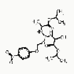 CC(C)OC(=O)C(C)NP(NC(C)C(=O)OC(C)C)OCOc1ccc([N+](=O)[O-])cc1